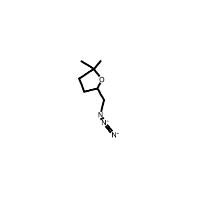 CC1(C)CCC(CN=[N+]=[N-])O1